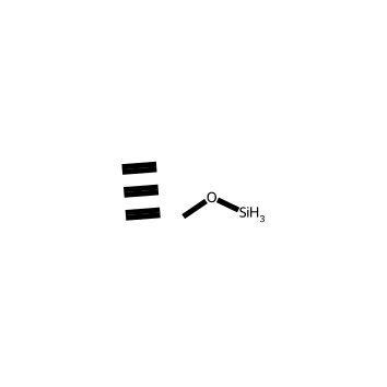 C=C.C=C.C=C.CO[SiH3]